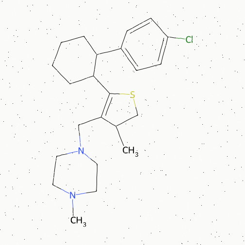 CC1CSC(C2CCCCC2c2ccc(Cl)cc2)=C1CN1CCN(C)CC1